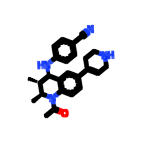 CC(=O)N1c2ccc(C3=CCNCC3)cc2[C@H](Nc2ccc(C#N)cc2)[C@@H](C)[C@@H]1C